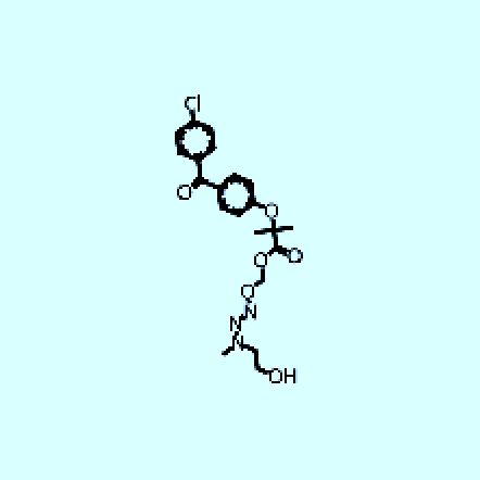 CN(CCO)N=NOCOC(=O)C(C)(C)Oc1ccc(C(=O)c2ccc(Cl)cc2)cc1